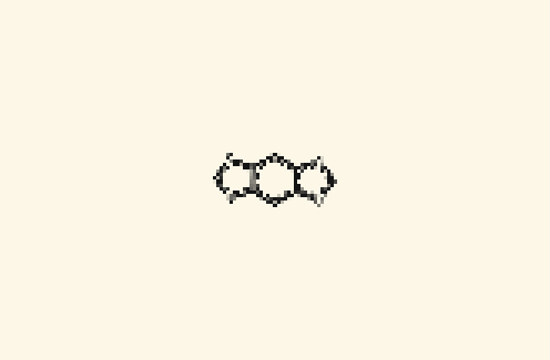 c1nc2cc3scnc3cc2o1